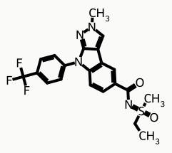 CCS(C)(=O)=NC(=O)c1ccc2c(c1)c1cn(C)nc1n2-c1ccc(C(F)(F)F)cc1